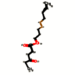 CCCCSSCCCOC(=O)CCC(=O)CC